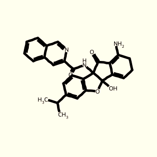 CC(C)c1ccc2c(c1)OC1(O)C3=CCCC(N)=C3C(=O)C21NC(=O)c1cc2ccccc2cn1